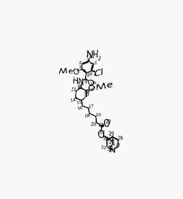 COc1cc(N)cc(Cl)c1C(=O)N[C@@H]1CCC(CCCCCC(=O)OC2CN3CCC2CC3)C[C@@H]1OC